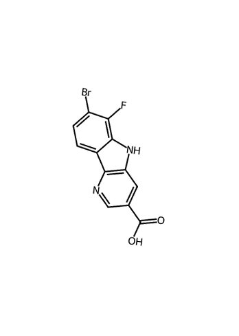 O=C(O)c1cnc2c(c1)[nH]c1c(F)c(Br)ccc12